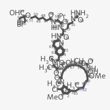 COc1cc2cc(c1Cl)N(C)C(=O)C[C@H](OC(=O)[C@H](C)N(C)C(=O)c1ccc3nc(NC(=O)[C@H](CCCNC(N)=O)NC(=O)[C@@H](NC(=O)CCCCCOC(C=O)(CBr)CBr)C(C)C)ccc3c1)[C@]1(C)O[C@H]1[C@H](C)[C@@H]1C[C@@](O)(NC(=O)O1)[C@H](OC)/C=C/C=C(\C)C2